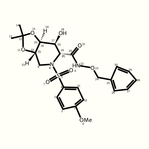 COc1ccc(S(=O)(=O)N2C[C@@H]3OC(C)(C)O[C@H]3[C@@H](O)[C@@H]2C(=O)NOCc2ccccc2)cc1